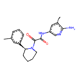 Cc1cccc([C@@H]2CCCCN2C(=O)C(=O)Nc2cnc(N)c(C)c2)c1